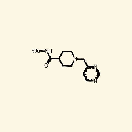 CC(C)(C)NC(=O)C1CCN(Cc2ccncn2)CC1